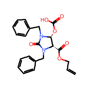 C=CCOC(=O)[C@H]1[C@@H](OC(=O)O)N(Cc2ccccc2)C(=O)N1Cc1ccccc1